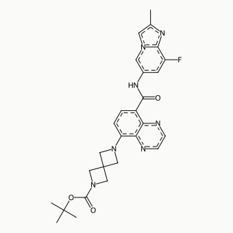 Cc1cn2cc(NC(=O)c3ccc(N4CC5(CN(C(=O)OC(C)(C)C)C5)C4)c4nccnc34)cc(F)c2n1